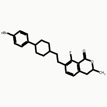 CCCCc1ccc(C2CCC(CCc3ccc4c(c3F)C(=O)OC(C)C4)CC2)cc1